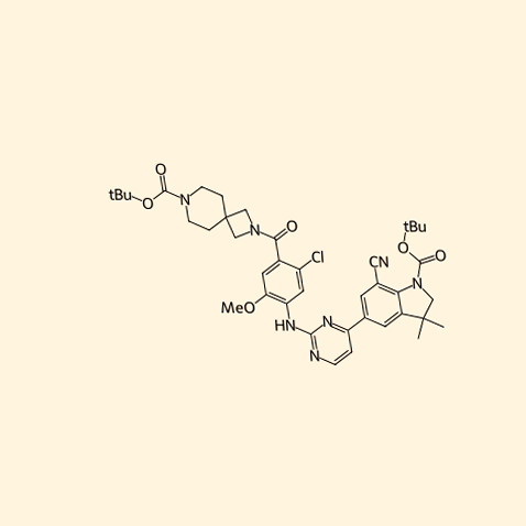 COc1cc(C(=O)N2CC3(CCN(C(=O)OC(C)(C)C)CC3)C2)c(Cl)cc1Nc1nccc(-c2cc(C#N)c3c(c2)C(C)(C)CN3C(=O)OC(C)(C)C)n1